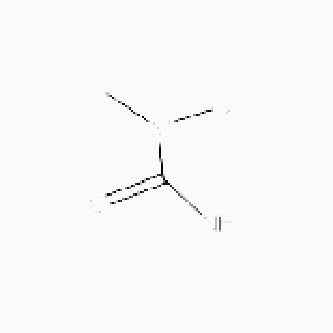 C[S+]([O-])C(N)=O